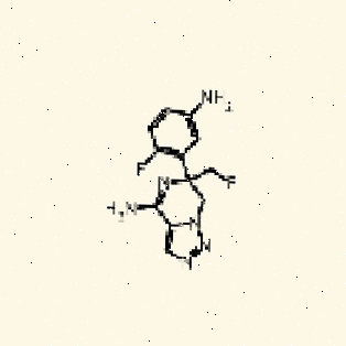 NC1=NC(CF)(c2cc(N)ccc2F)Cn2nncc21